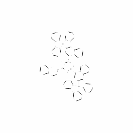 C1=CC(c2nc(-c3cc4c(c5ccccc35)-c3ccccc3C43c4ccccc4-c4ccccc43)nc(-c3cc4c(c5ccccc35)-c3ccccc3C43c4ccccc4-c4ccccc43)n2)Cc2ccccc21